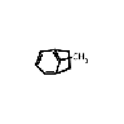 Cc1c2[c]ccc1CC2